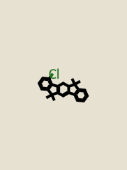 CC1(C)C2=C(CC3C(=C2)c2ccccc2C3(C)C)c2c(Cl)cccc21